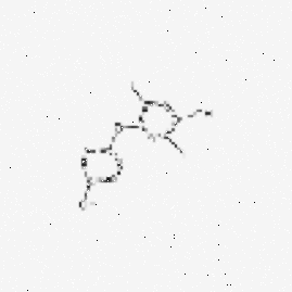 Oc1ccc(Oc2cc(I)c(O)cc2I)cc1